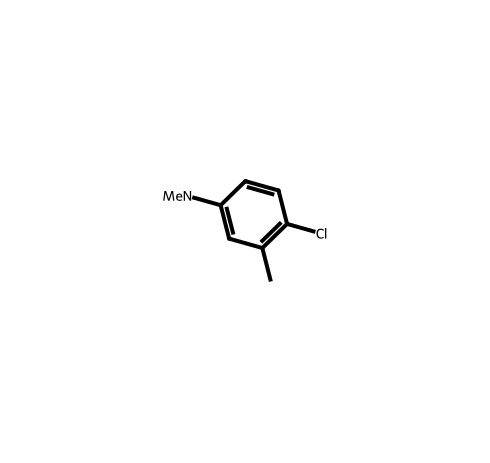 CNc1ccc(Cl)c(C)c1